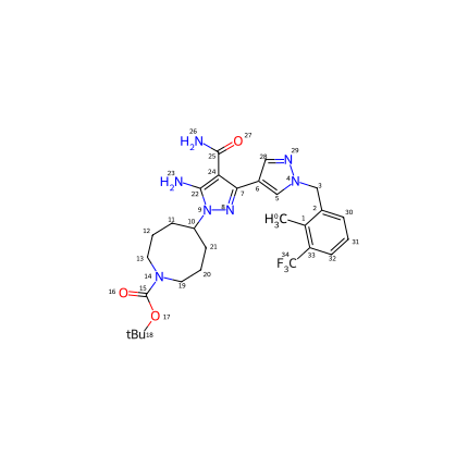 Cc1c(Cn2cc(-c3nn(C4CCCN(C(=O)OC(C)(C)C)CCC4)c(N)c3C(N)=O)cn2)cccc1C(F)(F)F